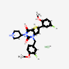 COc1ccc(Cn2c(=O)n(C3CCNCC3)c(=O)c3sc(-c4cc(F)ccc4OC)cc32)cc1F.Cl